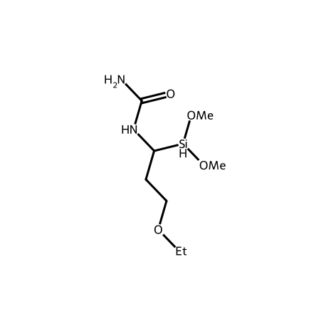 CCOCCC(NC(N)=O)[SiH](OC)OC